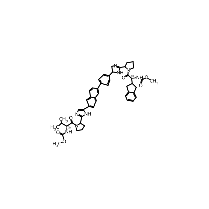 COC(=O)N[C@H](C(=O)N1CCCC1c1ncc(-c2ccc3cc(-c4ccc(C5CN=C(C6CCCN6C(=O)[C@@H](NC(=O)OC)C6Cc7ccccc7C6)N5)cc4)ccc3c2)[nH]1)C(C)C